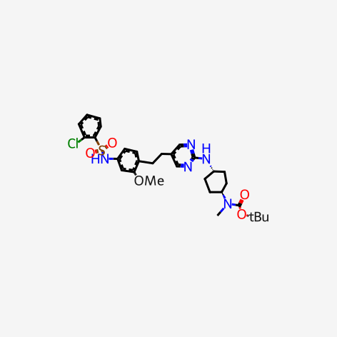 COc1cc(NS(=O)(=O)c2ccccc2Cl)ccc1CCc1cnc(N[C@H]2CC[C@H](N(C)C(=O)OC(C)(C)C)CC2)nc1